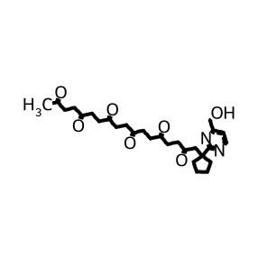 CC(=O)CCC(=O)CCC(=O)CCC(=O)CCC(=O)CCC(=O)CC1(c2nccc(CO)n2)CCCC1